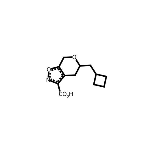 O=C(O)c1noc2c1CC(CC1CCC1)OC2